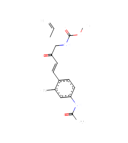 C=CC[C@H](NC(=O)OC(C)(C)C)C(=O)/C=C/c1ccc(NC(=O)OC)cc1[N+](=O)[O-]